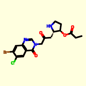 CCC(=O)O[C@@H]1CCN[C@H]1CC(=O)Cn1cnc2cc(Br)c(Cl)cc2c1=O